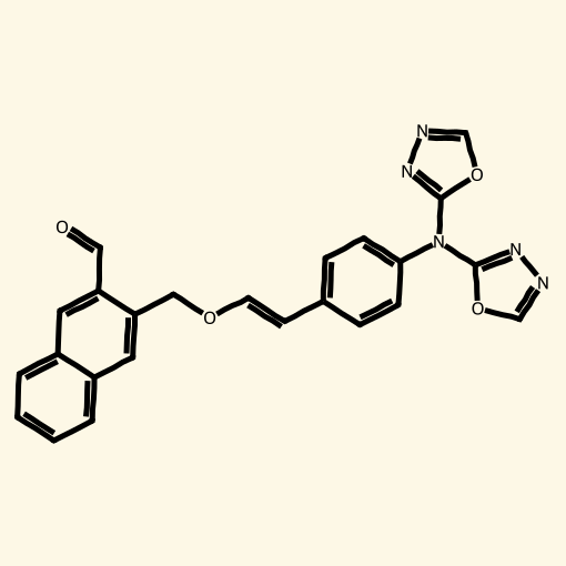 O=Cc1cc2ccccc2cc1COC=Cc1ccc(N(c2nnco2)c2nnco2)cc1